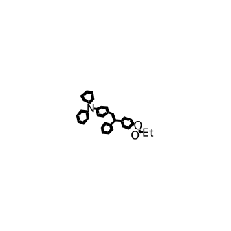 CCC(=O)Oc1ccc(C(=Cc2ccc(N(c3ccccc3)c3ccccc3)cc2)c2ccccc2)cc1